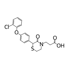 O=C(O)CCN1CCSC(c2ccc(Oc3ccccc3Cl)cc2)C1=O